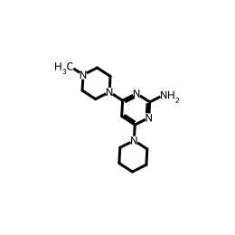 CN1CCN(c2cc(N3CCCCC3)nc(N)n2)CC1